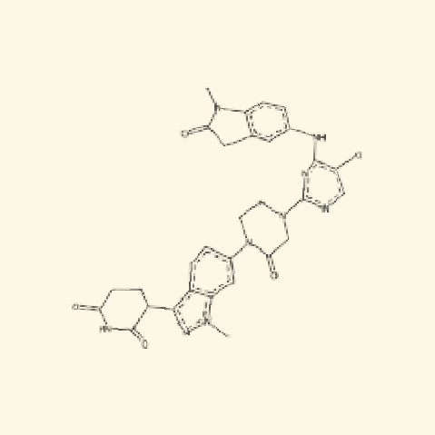 CN1C(=O)Cc2cc(Nc3nc(N4CCN(c5ccc6c(C7CCC(=O)NC7=O)nn(C)c6c5)C(=O)C4)ncc3Cl)ccc21